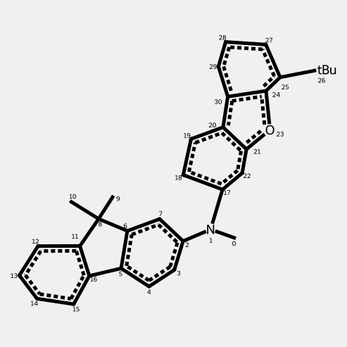 CN(c1ccc2c(c1)C(C)(C)c1ccccc1-2)c1ccc2c(c1)oc1c(C(C)(C)C)cccc12